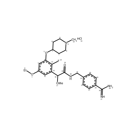 CCOc1cc(OC2CCN(C)CC2)c(F)c(C(OC)C(=O)NCc2ccc(C(=N)N)cc2)c1.Cl